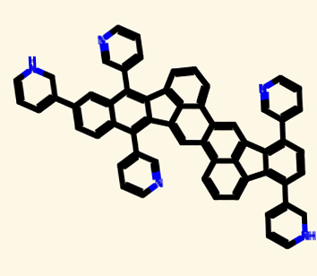 C1=CNCC(c2ccc3c(-c4cccnc4)c4c5cc6c(cc7c8c(-c9cccnc9)ccc(C9=CC=CNC9)c8c8cccc6c87)c6cccc(c4c(-c4cccnc4)c3c2)c65)=C1